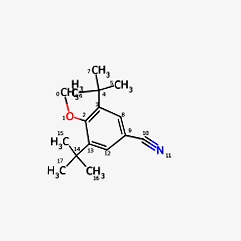 COc1c(C(C)(C)C)cc(C#N)cc1C(C)(C)C